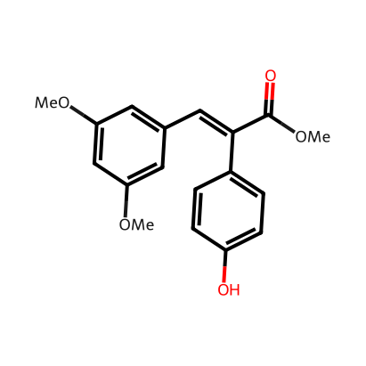 COC(=O)C(=Cc1cc(OC)cc(OC)c1)c1ccc(O)cc1